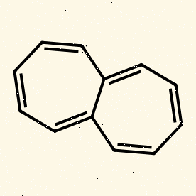 [C]1=CC=CC=C2C=CC=CC=C12